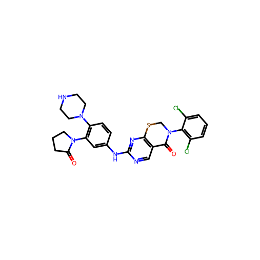 O=C1CCCN1c1cc(Nc2ncc3c(n2)SCN(c2c(Cl)cccc2Cl)C3=O)ccc1N1CCNCC1